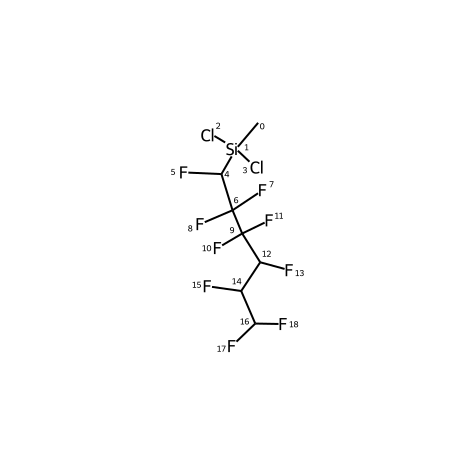 C[Si](Cl)(Cl)C(F)C(F)(F)C(F)(F)C(F)C(F)C(F)F